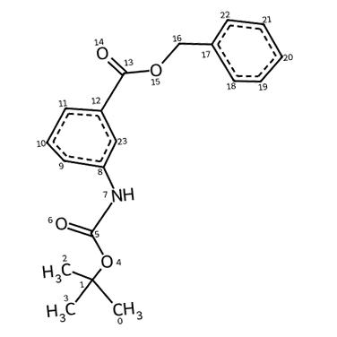 CC(C)(C)OC(=O)Nc1cccc(C(=O)OCc2ccccc2)c1